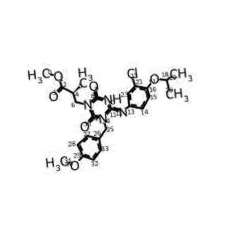 COC(=O)[C@@H](C)Cn1c(=O)[nH]/c(=N\c2ccc(OC(C)C)c(Cl)c2)n(Cc2ccc(OC)cc2)c1=O